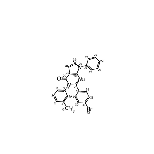 Cc1cccc(-n2c(-c3ccc(Br)cc3)nc3c(cnn3-c3ccccc3)c2=O)c1